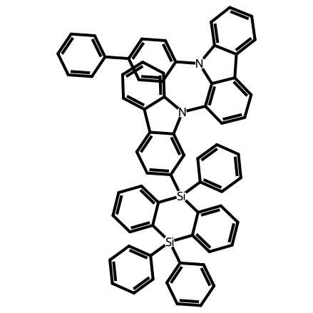 c1ccc(-c2ccc(-n3c4ccccc4c4cccc(-n5c6ccccc6c6ccc([Si]7(c8ccccc8)c8ccccc8[Si](c8ccccc8)(c8ccccc8)c8ccccc87)cc65)c43)cc2)cc1